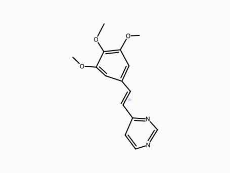 COc1cc(/C=C/c2ccncn2)cc(OC)c1OC